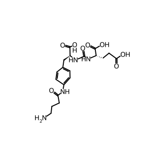 NCCCC(=O)Nc1ccc(C[C@H](NC(=O)N[C@@H](CCC(=O)O)C(=O)O)C(=O)O)cc1